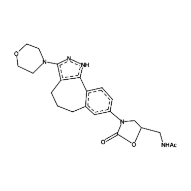 CC(=O)NCC1CN(c2ccc3c(c2)CCCc2c(N4CCOCC4)n[nH]c2-3)C(=O)O1